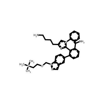 C[Si](C)(C)CCOCn1ncc2cc(-c3cccc(C(N)=O)c3-c3nc(CCCCN)cn3-c3ccccc3)ccc21